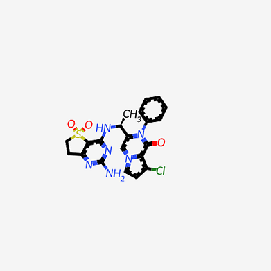 C[C@H](Nc1nc(N)nc2c1S(=O)(=O)CC2)c1cn2ccc(Cl)c2c(=O)n1-c1ccccc1